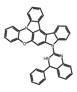 c1ccc(C2NC(n3c4ccccc4c4c5c6ccccc6n6c5c(cc43)Oc3ccccc3-6)=Nc3ccccc32)cc1